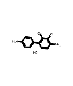 Cl.Nc1ccc(-c2ccc(N)c(Cl)c2Cl)cc1